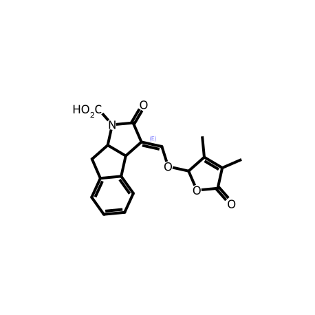 CC1=C(C)C(O/C=C2/C(=O)N(C(=O)O)C3Cc4ccccc4C23)OC1=O